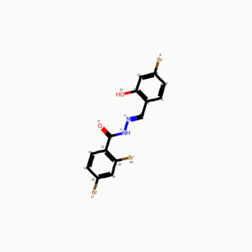 O=C(N/N=C/c1ccc(Br)cc1O)c1ccc(Br)cc1Br